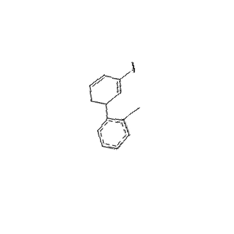 Cc1ccccc1C1C=C(I)C=CC1